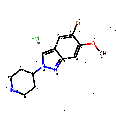 COc1cc2nn(C3CCNCC3)cc2cc1Br.Cl